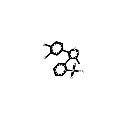 Cc1onc(-c2ccc(Cl)c(Cl)c2)c1-c1ccccc1S(N)(=O)=O